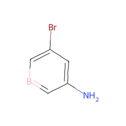 Nc1cbcc(Br)c1